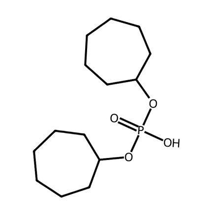 O=P(O)(OC1CCCCCC1)OC1CCCCCC1